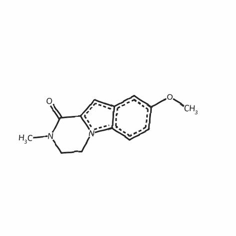 COc1ccc2c(c1)cc1n2CCN(C)C1=O